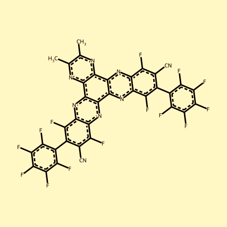 Cc1nc2c(nc1C)c1nc3c(F)c(-c4c(F)c(F)c(F)c(F)c4F)c(C#N)c(F)c3nc1c1nc3c(F)c(-c4c(F)c(F)c(F)c(F)c4F)c(C#N)c(F)c3nc21